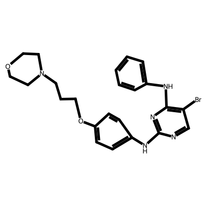 Brc1cnc(Nc2ccc(OCCCN3CCOCC3)cc2)nc1Nc1ccccc1